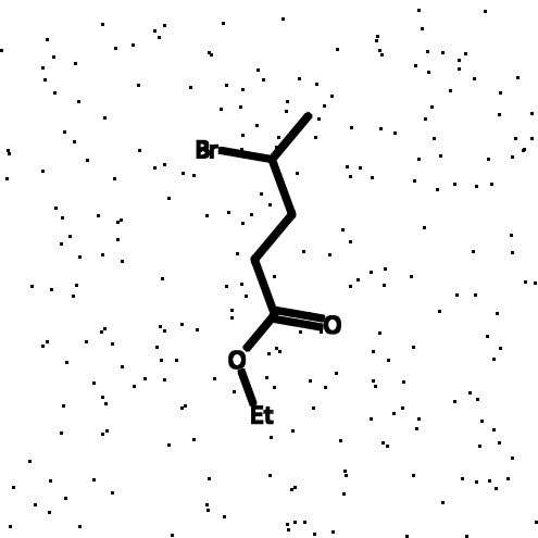 CCOC(=O)CCC(C)Br